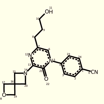 N#Cc1ccc(-n2cc(CCCO)nc(N3CC4(COC4)C3)c2=O)cc1